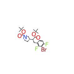 CC(C)(C)OC(=O)[C@@H](Cc1ccc(F)c(Br)c1F)[C@H]1CCN(C(=O)OC(C)(C)C)C1